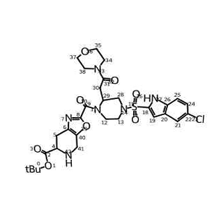 CC(C)(C)OC(=O)C1Cc2nc(C(=O)N3CCN(S(=O)(=O)c4cc5cc(Cl)ccc5[nH]4)CC3CC(=O)N3CCOCC3)oc2CN1